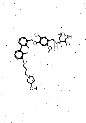 COc1cc(OCc2cccc(-c3cccc(OCCCN4CCC(O)C4)c3C)c2C)c(Cl)cc1CN[C@@](C)(CO)C(=O)O